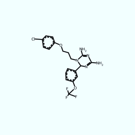 NC1=NC(c2cccc(OC(F)(F)F)c2)N(CCCOc2ccc(Cl)cc2)C(N)=N1